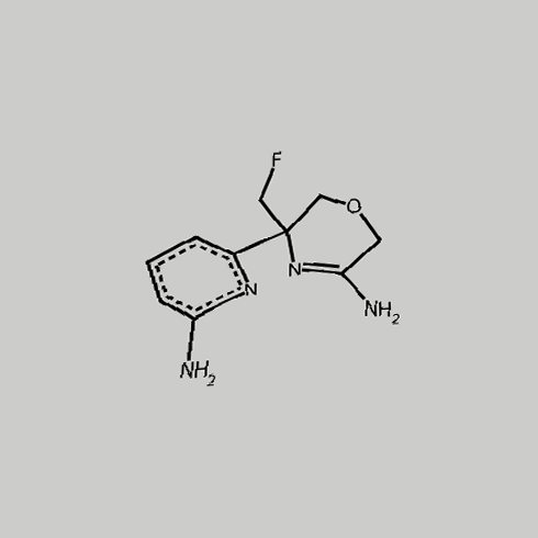 NC1=NC(CF)(c2cccc(N)n2)COC1